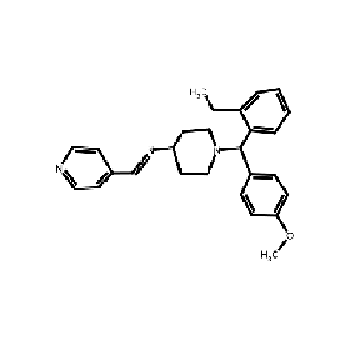 CCc1ccccc1C(c1ccc(OC)cc1)N1CCC(/N=C/c2ccncc2)CC1